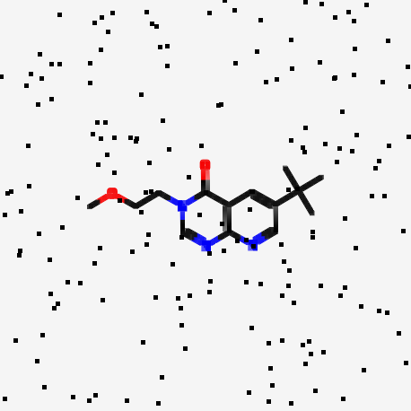 COCCn1cnc2ncc(C(C)(C)C)cc2c1=O